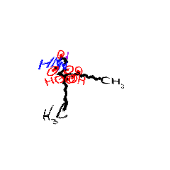 CCCCCCCC(=O)C(O)[C@H]1O[C@@H](n2cc(I)c(=O)[nH]c2=O)C[C@@]1(O)C(=O)CCCCCCC